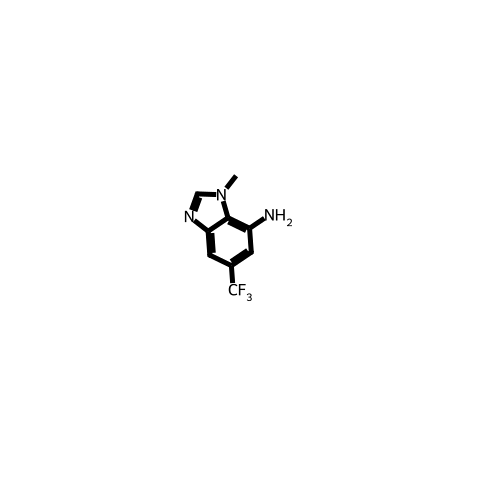 Cn1cnc2cc(C(F)(F)F)cc(N)c21